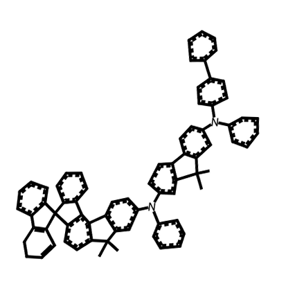 CC1(C)c2cc(N(c3ccccc3)c3ccc(-c4ccccc4)cc3)ccc2-c2ccc(N(c3ccccc3)c3ccc4c(c3)C(C)(C)c3ccc5c(c3-4)-c3ccccc3C53C4=C(CCC=C4)c4ccccc43)cc21